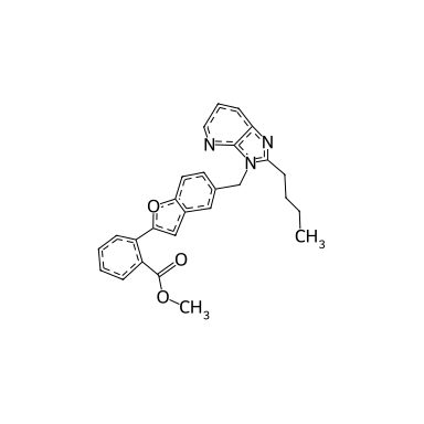 CCCCc1nc2cccnc2n1Cc1ccc2oc(-c3ccccc3C(=O)OC)cc2c1